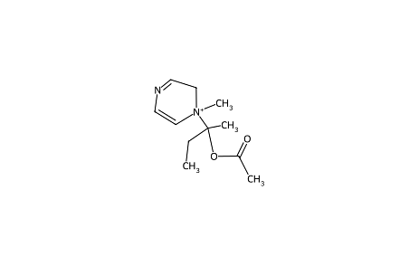 CCC(C)(OC(C)=O)[N+]1(C)C=CN=CC1